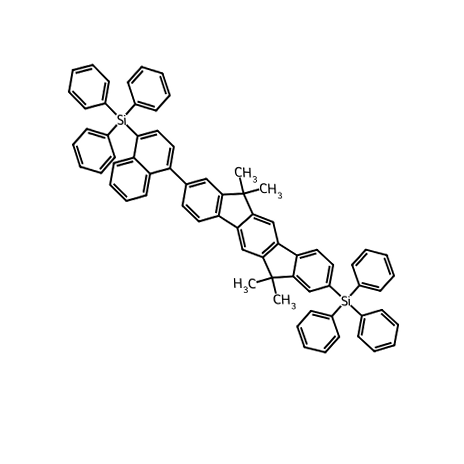 CC1(C)c2cc(-c3ccc([Si](c4ccccc4)(c4ccccc4)c4ccccc4)c4ccccc34)ccc2-c2cc3c(cc21)-c1ccc([Si](c2ccccc2)(c2ccccc2)c2ccccc2)cc1C3(C)C